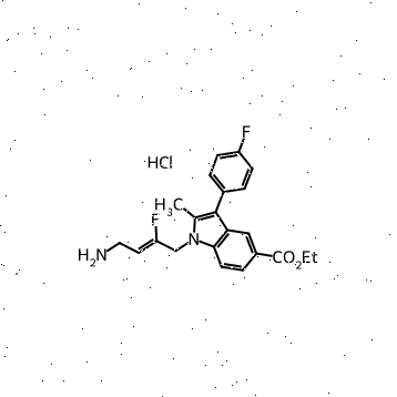 CCOC(=O)c1ccc2c(c1)c(-c1ccc(F)cc1)c(C)n2CC(F)=CCN.Cl